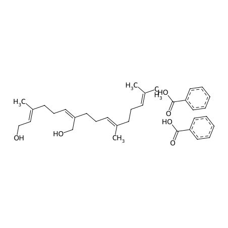 CC(C)=CCCC(C)=CCCC(=CCCC(C)=CCO)CO.O=C(O)c1ccccc1.O=C(O)c1ccccc1